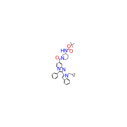 CC(C)(C)OC(=O)NC1CCCN(C(=O)c2ccn3c(-c4ccccc4)c(-c4cc5ccccc5n4CC4CC4)nc3c2)C1